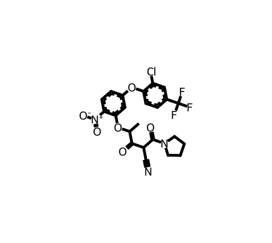 CC(Oc1cc(Oc2ccc(C(F)(F)F)cc2Cl)ccc1[N+](=O)[O-])C(=O)C(C#N)C(=O)N1CCCC1